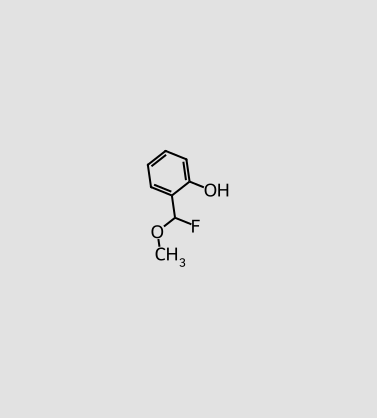 COC(F)c1ccccc1O